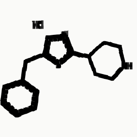 Cl.c1ccc(Cc2cnc(C3CCNCC3)s2)cc1